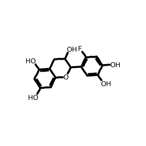 Oc1cc(O)c2c(c1)OC(c1cc(O)c(O)cc1F)C(O)C2